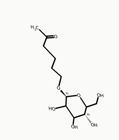 CC(=O)CCCCO[C@H]1OC(CO)[C@H](O)C(O)C1O